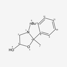 CCCCN1CC(O)OC1(C)c1ccccc1